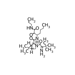 C=CCNC(=O)C(=O)C(CCCC)NC(=O)[C@@H]1[C@@H]2[C@H](CN1C(=O)[C@@H](N)C(C)(C)C)C2(C)C